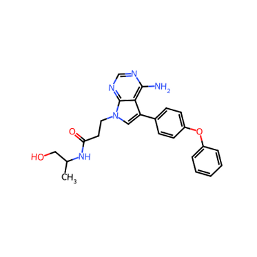 CC(CO)NC(=O)CCn1cc(-c2ccc(Oc3ccccc3)cc2)c2c(N)ncnc21